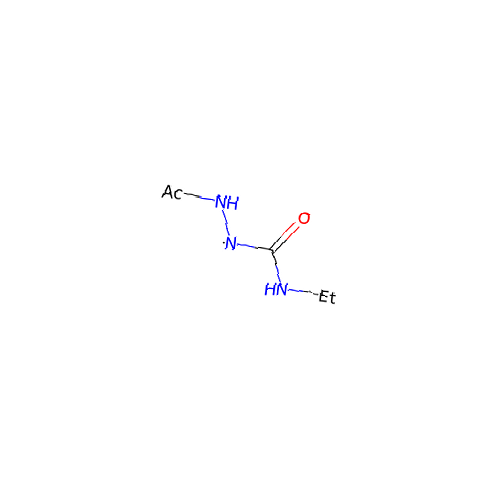 CCNC(=O)[N]NC(C)=O